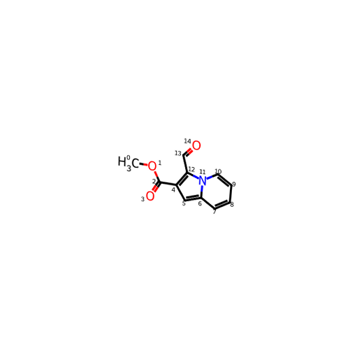 COC(=O)c1cc2ccccn2c1C=O